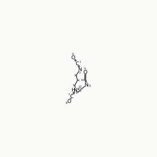 O=C=NCCCN=C=O.O=C=N[SiH3]